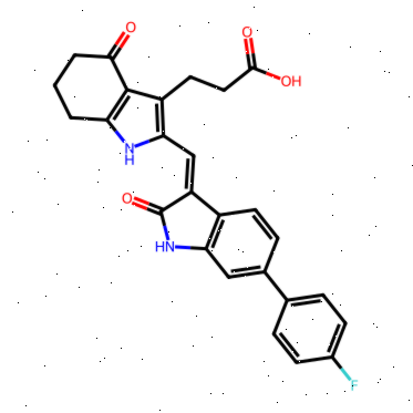 O=C(O)CCc1c(C=C2C(=O)Nc3cc(-c4ccc(F)cc4)ccc32)[nH]c2c1C(=O)CCC2